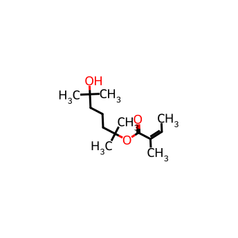 CC=C(C)C(=O)OC(C)(C)CCCC(C)(C)O